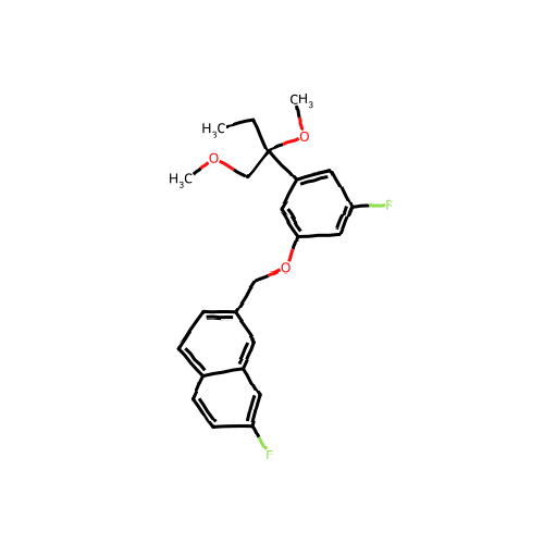 CCC(COC)(OC)c1cc(F)cc(OCc2ccc3ccc(F)cc3c2)c1